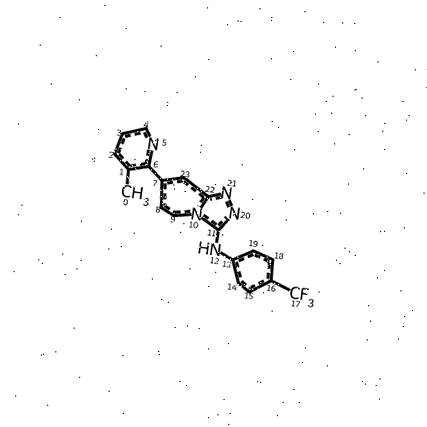 Cc1cccnc1-c1ccn2c(Nc3ccc(C(F)(F)F)cc3)nnc2c1